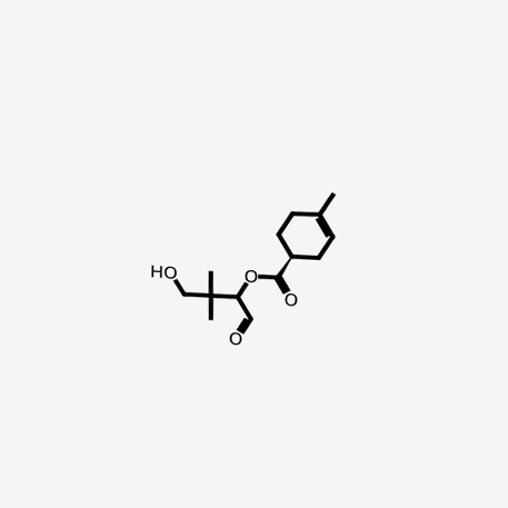 CC1=CC[C@@H](C(=O)OC(C=O)C(C)(C)CO)CC1